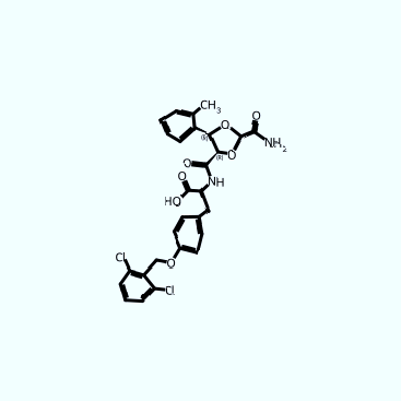 Cc1ccccc1[C@H]1OC(C(N)=O)O[C@H]1C(=O)NC(Cc1ccc(OCc2c(Cl)cccc2Cl)cc1)C(=O)O